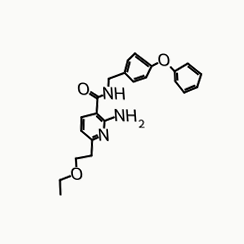 CCOCCc1ccc(C(=O)NCc2ccc(Oc3ccccc3)cc2)c(N)n1